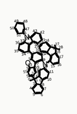 CC1(C)c2ccccc2-c2ccc(N(c3cccc4c3-c3ccccc3C4(C)C)c3ccc(-c4cccc5c4c4ccccc4n5-c4ccccc4)c4oc5ccccc5c34)cc21